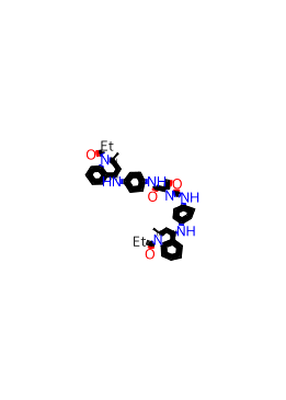 CCC(=O)N1c2ccccc2[C@H](Nc2ccc(NC(=O)c3coc(Nc4ccc(N[C@@H]5C[C@H](C)N(C(=O)CC)c6ccccc65)cc4)n3)cc2)C[C@@H]1C